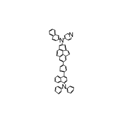 c1ccc(N(c2ccccc2)c2ccc(-c3ccc(-c4cc5ccc6cc(N(c7ccncc7)c7ccc8ccccc8c7)cc7ccc(c4)c5c67)cc3)c3ccccc23)cc1